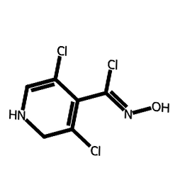 O/N=C(\Cl)C1=C(Cl)CNC=C1Cl